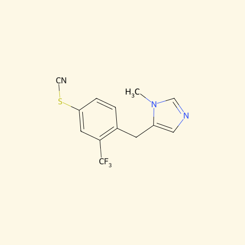 Cn1cncc1Cc1ccc(SC#N)cc1C(F)(F)F